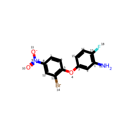 Nc1cc(Oc2ccc([N+](=O)[O-])cc2Br)ccc1F